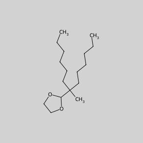 CCCCCCC(C)(CCCCCC)C1OCCO1